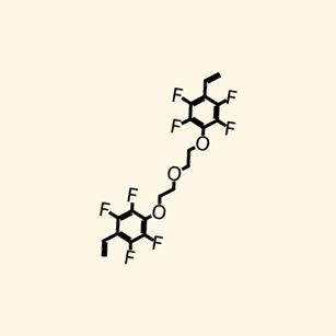 C=Cc1c(F)c(F)c(OCCOCCOc2c(F)c(F)c(C=C)c(F)c2F)c(F)c1F